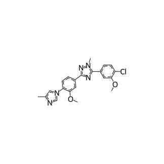 COc1cc(-c2nc(-c3ccc(-n4cnc(C)c4)c(OC)c3)nn2C)ccc1Cl